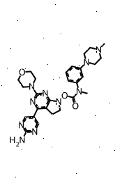 CN1CCN(c2cccc(N(C)C(=O)ON3CCc4c(-c5cnc(N)nc5)nc(N5CCOCC5)nc43)c2)CC1